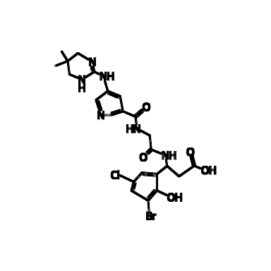 CC1(C)CN=C(Nc2cncc(C(=O)NCC(=O)NC(CC(=O)O)c3cc(Cl)cc(Br)c3O)c2)NC1